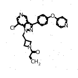 C=CC(=O)N1CC(Cn2nc(-c3ccc(Oc4ccncc4)cc3)c3cncc(Cl)c32)C1